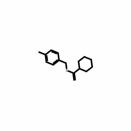 C=C(SCc1ccc(C)cc1)C1CCCCC1